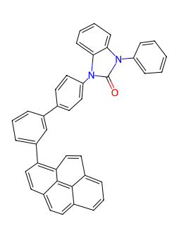 O=c1n(-c2ccccc2)c2ccccc2n1-c1ccc(-c2cccc(-c3ccc4ccc5cccc6ccc3c4c56)c2)cc1